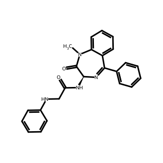 CN1C(=O)[C@H](NC(=O)CNc2ccccc2)N=C(c2ccccc2)c2ccccc21